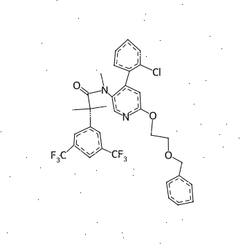 CN(C(=O)C(C)(C)c1cc(C(F)(F)F)cc(C(F)(F)F)c1)c1cnc(OCCOCc2ccccc2)cc1-c1ccccc1Cl